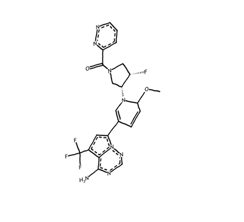 COC1C=CC(c2cc(C(F)(F)F)c3c(N)ncnn23)=CN1[C@@H]1CN(C(=O)c2cccnn2)C[C@@H]1F